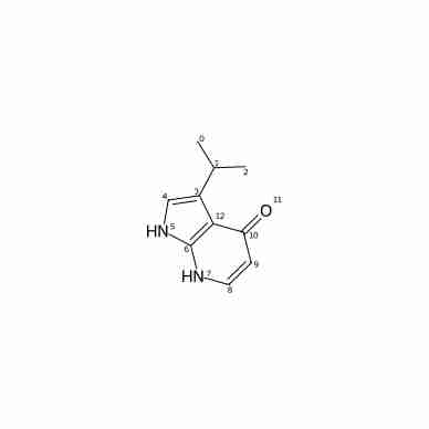 CC(C)c1c[nH]c2[nH]ccc(=O)c12